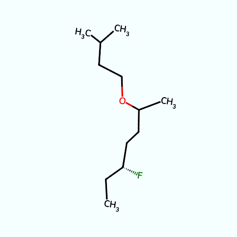 CC[C@@H](F)CCC(C)OCCC(C)C